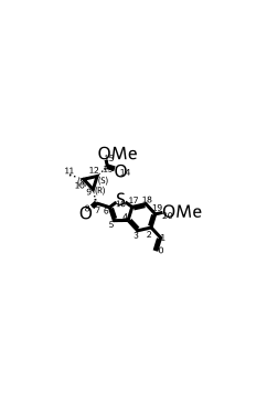 C=Cc1cc2cc(C(=O)[C@@H]3[C@H](C)[C@@H]3C(=O)OC)sc2cc1OC